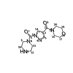 O=C(c1cnn(C(=O)N2CCNCC2)c1)N1CCOCC1